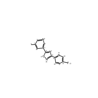 Cc1cncc(-c2nc(-c3ccc(F)cn3)no2)c1